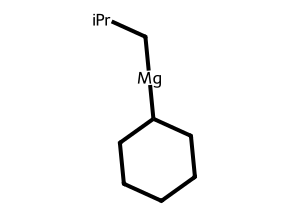 CC(C)[CH2][Mg][CH]1CCCCC1